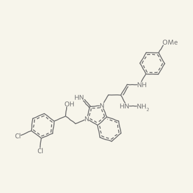 COc1ccc(N/C=C(/Cn2c(=N)n(CC(O)c3ccc(Cl)c(Cl)c3)c3ccccc32)NN)cc1